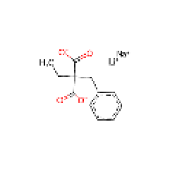 CCC(Cc1ccccc1)(C(=O)[O-])C(=O)[O-].[Li+].[Na+]